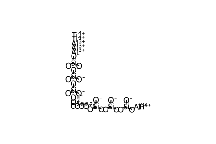 O=[Si]([O-])[O-].O=[Si]([O-])[O-].O=[Si]([O-])[O-].O=[Si]([O-])[O-].O=[Si]([O-])[O-].O=[Si]([O-])[O-].[Al+3].[Al+3].[Al+3].[Al+3].[O-2].[O-2].[O-2].[O-2].[O-2].[O-2].[Ti+4].[Ti+4].[Ti+4]